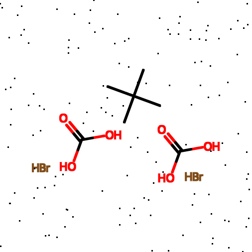 Br.Br.CC(C)(C)C.O=C(O)O.O=C(O)O